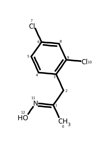 CC(Cc1ccc(Cl)cc1Cl)=NO